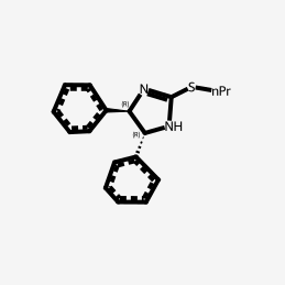 CCCSC1=N[C@H](c2ccccc2)[C@@H](c2ccccc2)N1